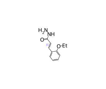 CCOc1ccccc1/C=C/C(=O)NN